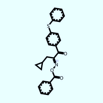 O=C(O/N=C(\CC1CC1)C(=O)c1ccc(Sc2ccccc2)cc1)c1ccccc1